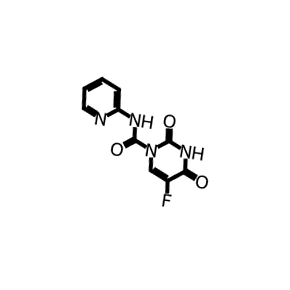 O=C(Nc1ccccn1)n1cc(F)c(=O)[nH]c1=O